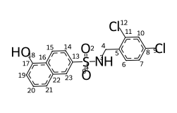 O=S(=O)(NCc1ccc(Cl)cc1Cl)c1ccc2c(O)cccc2c1